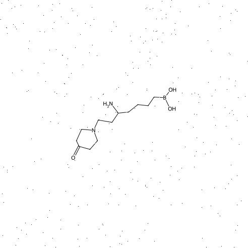 NC(CCCCB(O)O)CCN1CCC(=O)CC1